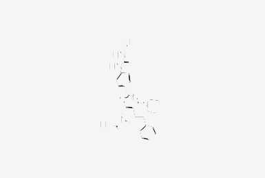 CCNC(=O)Nc1ccc(-c2nc3c(c(N4CCOCC4)n2)C(Cc2ccccc2)CN(C(=O)O)C3)cc1